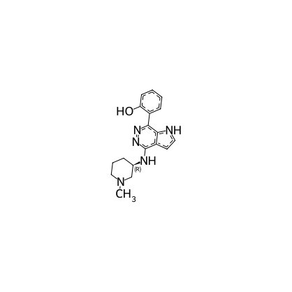 CN1CCC[C@@H](Nc2nnc(-c3ccccc3O)c3[nH]ccc23)C1